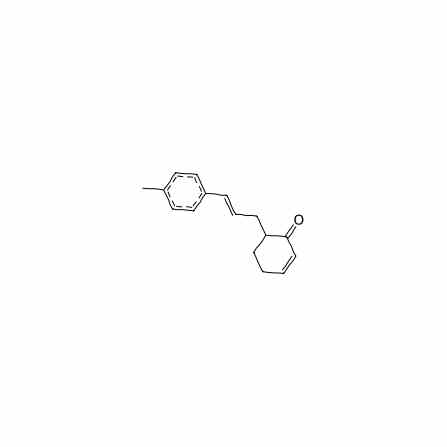 Cc1ccc(C=CCC2CCC=CC2=O)cc1